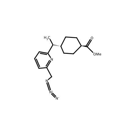 COC(=O)[C@H]1CC[C@H](C(C)c2cccc(CN=[N+]=[N-])n2)CC1